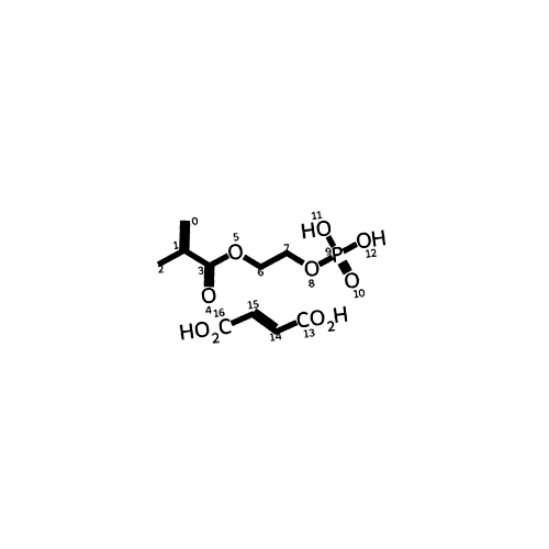 C=C(C)C(=O)OCCOP(=O)(O)O.O=C(O)C=CC(=O)O